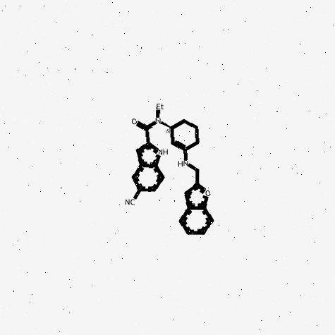 CCN(C(=O)c1cc2cc(C#N)ccc2[nH]1)[C@@H]1C=C(NCc2cc3ccccc3o2)CCC1